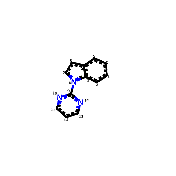 [c]1ccc2c(c1)ccn2-c1ncccn1